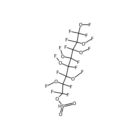 O=[SH](=O)OC(F)(F)C(F)(OF)C(F)(OF)C(F)(OF)C(F)(OF)C(F)(OF)C(F)(OF)C(F)(F)OF